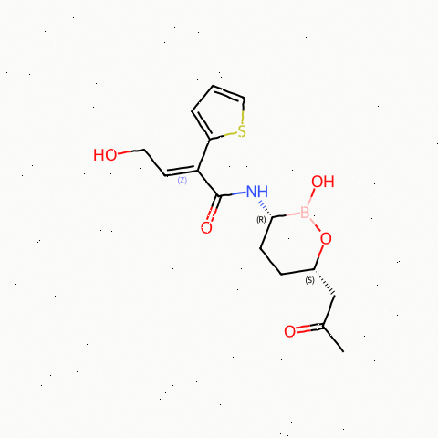 CC(=O)C[C@@H]1CC[C@H](NC(=O)/C(=C/CO)c2cccs2)B(O)O1